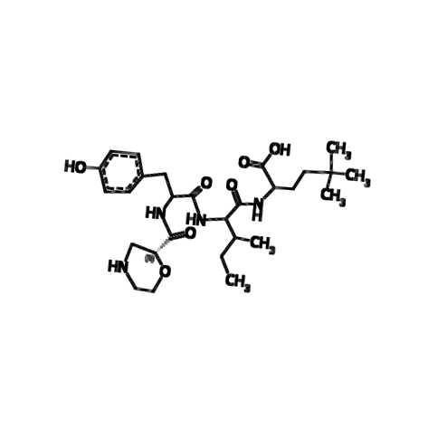 CCC(C)C(NC(=O)C(Cc1ccc(O)cc1)NC(=O)[C@H]1CNCCO1)C(=O)NC(CCC(C)(C)C)C(=O)O